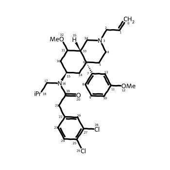 C=CCN1CC[C@@]2(c3cccc(OC)c3)C[C@@H](N(CC(C)C)C(=O)Cc3ccc(Cl)c(Cl)c3)CC(OC)[C@@H]2C1